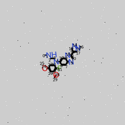 CNCCN(c1ccc2ncc(-c3cnn(C)c3)nc2c1)c1cc(OC)cc(OC)c1F